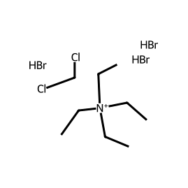 Br.Br.Br.CC[N+](CC)(CC)CC.ClCCl